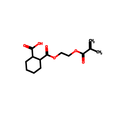 C=C(C)C(=O)OCCOC(=O)C1CCCCC1C(=O)O